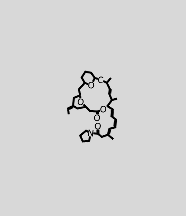 C/C=C1\CC2CC(=O)OC(/C=C/C=C\C=C(/C)CC(=O)N3CCCC3)C(C)/C=C/C(C)CC3CCCC(CC(C1)O2)O3